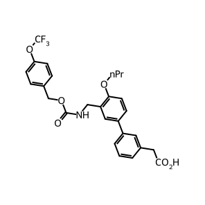 CCCOc1ccc(-c2cccc(CC(=O)O)c2)cc1CNC(=O)OCc1ccc(OC(F)(F)F)cc1